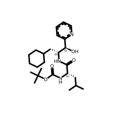 CC(C)C[C@H](NC(=O)OC(C)(C)C)C(=O)N[C@H](CC1CCCCC1)[C@H](O)c1ccccn1